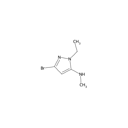 CCn1nc(Br)cc1NC